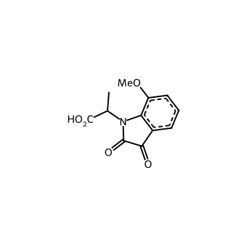 COc1cccc2c1N(C(C)C(=O)O)C(=O)C2=O